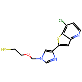 SCCOCn1cnc(-c2cc3nccc(Cl)c3s2)c1